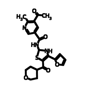 CC(=O)c1cc(C(=O)NC2NC(c3ccco3)=C(C(=O)C3CCOCC3)S2)cnc1C